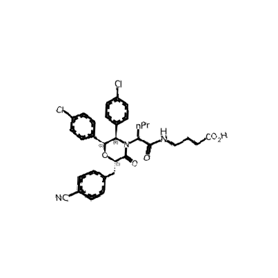 CCCC(C(=O)NCCCC(=O)O)N1C(=O)[C@H](Cc2ccc(C#N)cc2)O[C@@H](c2ccc(Cl)cc2)[C@H]1c1ccc(Cl)cc1